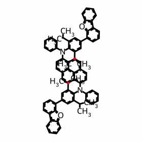 CC(C)c1cc(-c2cccc3c2oc2ccccc23)cc(C(C)C)c1N(c1ccccc1)c1ccc2ccc3c(N(c4ccccc4)c4c(C(C)C)cc(-c5cccc6c5oc5ccccc56)cc4C(C)C)ccc4ccc1c2c43